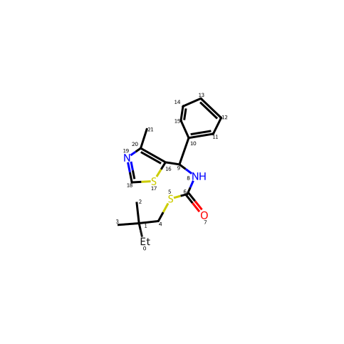 CCC(C)(C)CSC(=O)NC(c1ccccc1)c1scnc1C